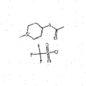 CC(=O)SC1CC[S+](C)CC1.O=S(=O)([O-])C(F)(F)F